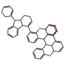 C1=CCCC(C2=CC=CC3Sc4ccccc4C(C4C5=CC=CCC5Sc5c(C6=CCCC7C6c6ccccc6N7C6=CC=CCC6)cccc54)C23)=C1